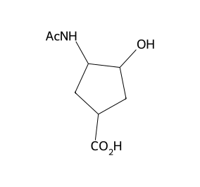 CC(=O)NC1CC(C(=O)O)CC1O